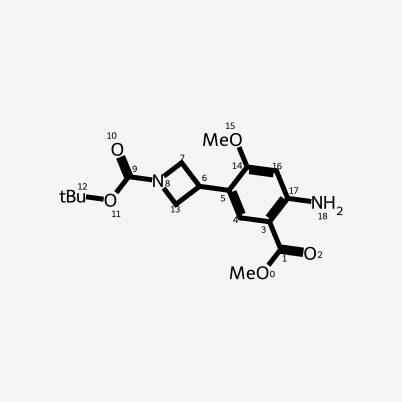 COC(=O)c1cc(C2CN(C(=O)OC(C)(C)C)C2)c(OC)cc1N